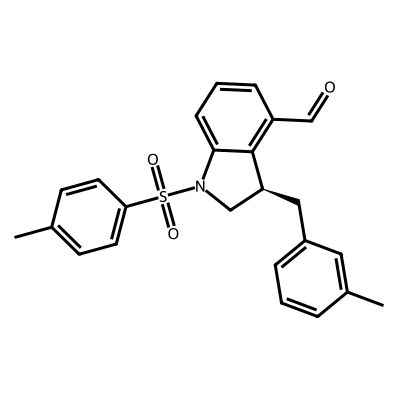 Cc1ccc(S(=O)(=O)N2C[C@H](Cc3cccc(C)c3)c3c(C=O)cccc32)cc1